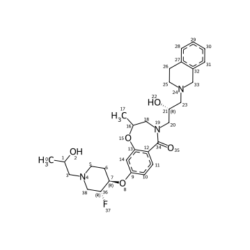 CC(O)CN1CC[C@@H](Oc2ccc3c(c2)OC(C)CN(C[C@H](O)CN2CCc4ccccc4C2)C3=O)[C@H](F)C1